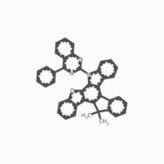 CC1(C)c2ccccc2-c2c1c1c3ccccc3oc1c1c2c2ccccc2n1-c1nc(-c2ccccc2)c2ccccc2n1